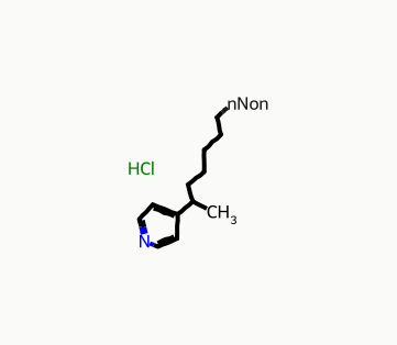 CCCCCCCCCCCCCCC(C)c1ccncc1.Cl